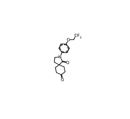 O=C1CCC2(CC1)CCN(c1ccc(OCC(F)(F)F)cc1)C2=O